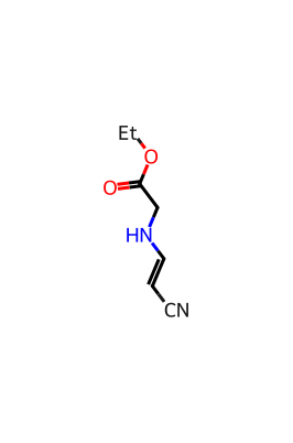 CCOC(=O)CNC=CC#N